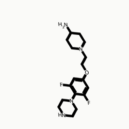 NC1CCN(CCOc2cc(F)c(N3CCNCC3)c(F)c2)CC1